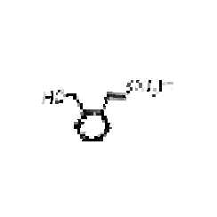 CCOC(=O)/C=C/c1ccccc1CO